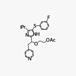 CC(=O)OCCOC(Cc1ccncc1)c1nc(C(C)C)c(Sc2cccc(F)c2)[nH]1